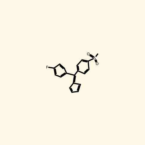 CS(=O)(=O)c1ccc(C(=C2C=CC=C2)c2ccc(F)cc2)cc1